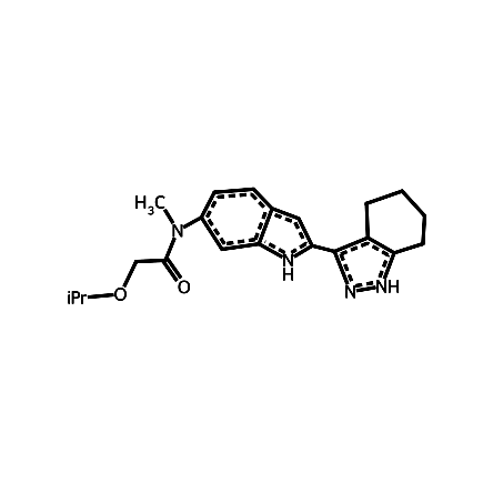 CC(C)OCC(=O)N(C)c1ccc2cc(-c3n[nH]c4c3CCCC4)[nH]c2c1